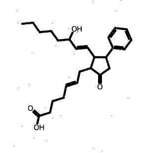 CCCCCC(O)/C=C/C1C(C/C=C/CCCC(=O)O)C(=O)CC1c1ccccc1